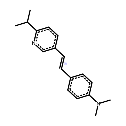 CC(C)c1ccc(/C=C/c2ccc(N(C)C)cc2)cn1